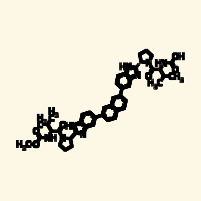 COC(=O)N[C@H](C(=O)N1CCCC1c1nc2cc(-c3ccc4ccc(-c5ccc6[nH]c([C@@H]7CCCN7C(=O)[C@@H](NC(=O)O)C(C)C)nc6c5)cc4c3)ccc2[nH]1)C(C)C